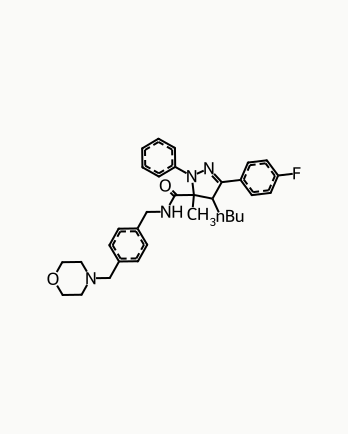 CCCCC1C(c2ccc(F)cc2)=NN(c2ccccc2)C1(C)C(=O)NCc1ccc(CN2CCOCC2)cc1